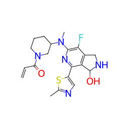 C=CC(=O)N1CCCC(N(C)c2nc(-c3cnc(C)s3)c3c(c2F)CNC3O)C1